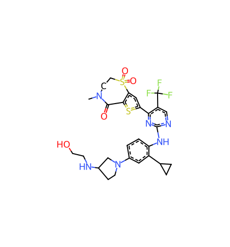 CN1CCS(=O)(=O)c2cc(-c3nc(Nc4ccc(N5CCC(NCCO)C5)cc4C4CC4)ncc3C(F)(F)F)sc2C1=O